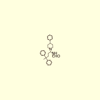 CC(CCC(NC=O)N1CCC(c2ccccc2)CC1)(c1ccccc1)c1ccccc1